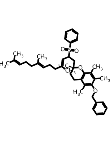 CC(C)=CCC/C(C)=C/CC/C(C)=C/C(C[C@@]1(C)CCc2c(C)c(OCc3ccccc3)c(C)c(C)c2O1)S(=O)(=O)c1ccccc1